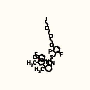 Cc1cc(C2(C)CCCc3nc(SCc4c(F)ccc(OCCOCCOCCI)c4F)n(-c4ccc(F)cc4)c32)ccc1Cl